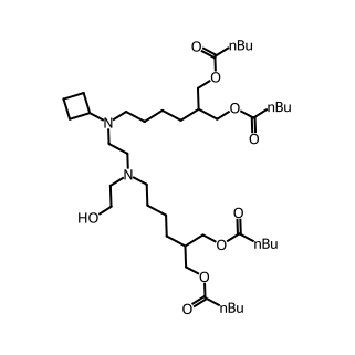 CCCCC(=O)OCC(CCCCN(CCO)CCN(CCCCC(COC(=O)CCCC)COC(=O)CCCC)C1CCC1)COC(=O)CCCC